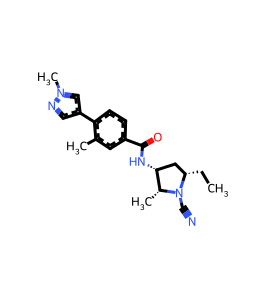 CC[C@H]1C[C@@H](NC(=O)c2ccc(-c3cnn(C)c3)c(C)c2)[C@@H](C)N1C#N